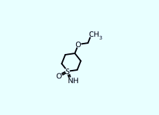 CCOC1CCS(=N)(=O)CC1